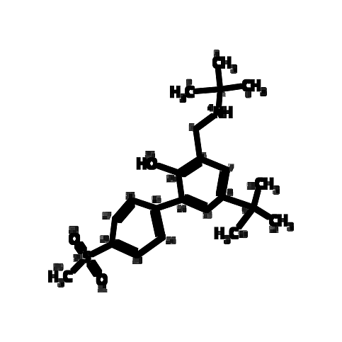 CC(C)(C)NCc1cc(C(C)(C)C)cc(-c2ccc(S(C)(=O)=O)cc2)c1O